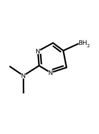 Bc1cnc(N(C)C)nc1